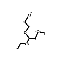 CCOC(COC)OCCCl